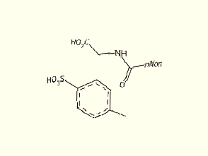 CCCCCCCCCC(=O)NCC(=O)O.Cc1ccc(S(=O)(=O)O)cc1